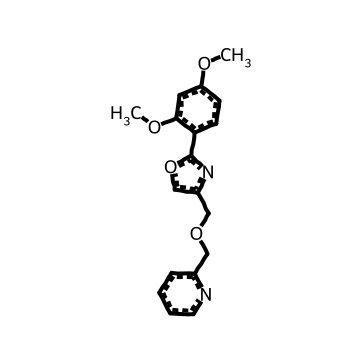 COc1ccc(-c2nc(COCc3ccccn3)co2)c(OC)c1